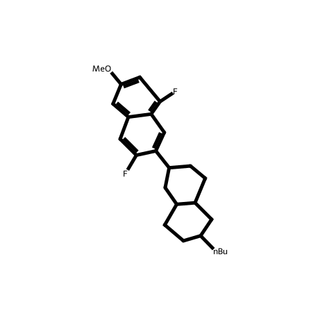 CCCCC1CCC2CC(c3cc4c(F)cc(OC)cc4cc3F)CCC2C1